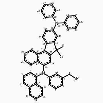 CC(C)Cc1cccc(N(c2cccc3ccccc23)c2cc3c(c4ccccc24)-c2ccc(N(c4ccccc4)c4ccccc4)cc2C3(C)C)c1